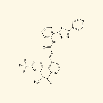 CN(C(=O)c1cccc(C=CC(=O)Nc2ccccc2-c2nnc(-c3ccncc3)o2)c1)c1cccc(C(F)(F)F)c1